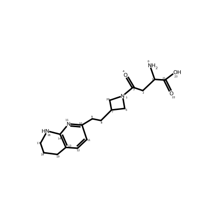 NC(CC(=O)N1CC(CCc2ccc3c(n2)NCCC3)C1)C(=O)O